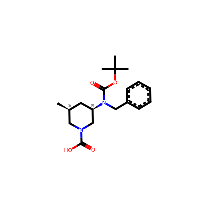 C[C@H]1C[C@@H](N(Cc2ccccc2)C(=O)OC(C)(C)C)CN(C(=O)O)C1